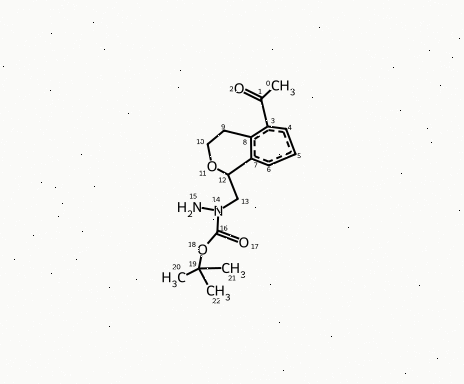 CC(=O)c1cccc2c1CCOC2CN(N)C(=O)OC(C)(C)C